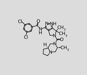 C[C@H]1CN2CCC[C@H]2CN1C(=O)N1Cc2c(NC(=O)c3cc(Cl)cc(Cl)c3)n[nH]c2C1(C)C